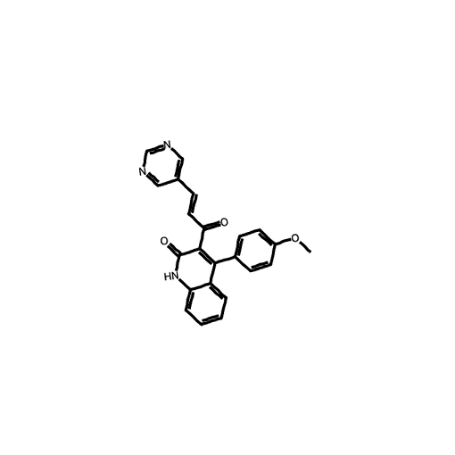 COc1ccc(-c2c(C(=O)/C=C/c3cncnc3)c(=O)[nH]c3ccccc23)cc1